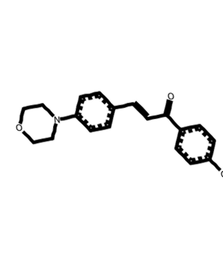 O=C(/C=C/c1ccc(N2CCOCC2)cc1)c1ccc(O)cc1